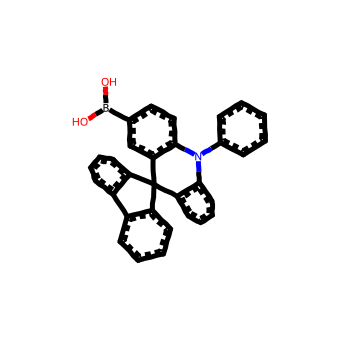 OB(O)c1ccc2c(c1)C1(c3ccccc3-c3ccccc31)c1ccccc1N2c1ccccc1